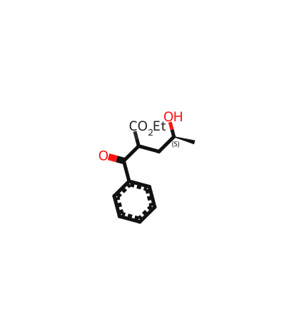 CCOC(=O)C(C[C@H](C)O)C(=O)c1ccccc1